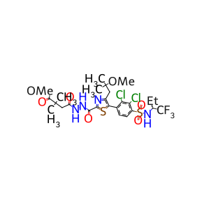 CC[C@H](NS(=O)(=O)c1ccc(-c2sc(C(=O)NNC(=O)CC(C)(C)C(=O)OC)nc2CC(C)(C)OC)c(Cl)c1Cl)C(F)(F)F